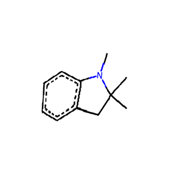 CN1c2ccccc2CC1(C)C